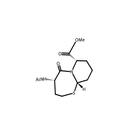 COC(=O)[C@@H]1CCC[C@@H]2SCC[C@H](NC(C)=O)C(=O)N21